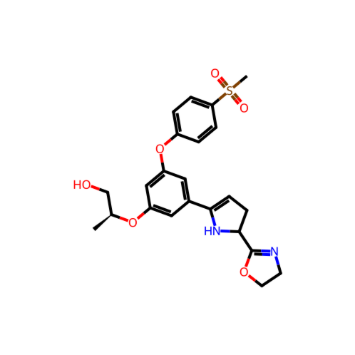 C[C@@H](CO)Oc1cc(Oc2ccc(S(C)(=O)=O)cc2)cc(C2=CCC(C3=NCCO3)N2)c1